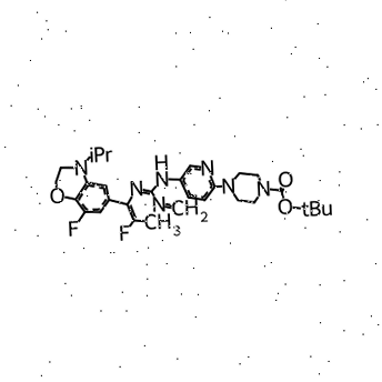 C=N/C(=N\C(=C(/C)F)c1cc(F)c2c(c1)N(C(C)C)CCO2)Nc1ccc(N2CCN(C(=O)OC(C)(C)C)CC2)nc1